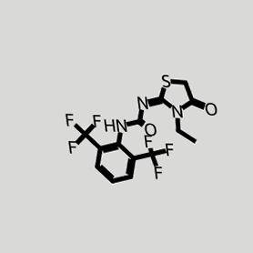 CCN1C(=O)CSC1=NC(=O)Nc1c(C(F)(F)F)cccc1C(F)(F)F